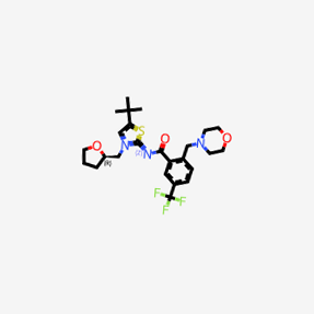 CC(C)(C)c1cn(C[C@H]2CCCO2)/c(=N/C(=O)c2cc(C(F)(F)F)ccc2CN2CCOCC2)s1